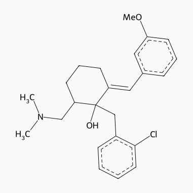 COc1cccc(C=C2CCCC(CN(C)C)C2(O)Cc2ccccc2Cl)c1